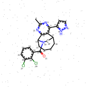 Cc1nc(-c2ccn[nH]2)c2c(n1)C1CCCCC2CN1C(=O)c1cccc(Cl)c1Cl